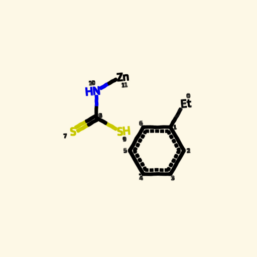 CCc1cc[c]cc1.S=C(S)[NH][Zn]